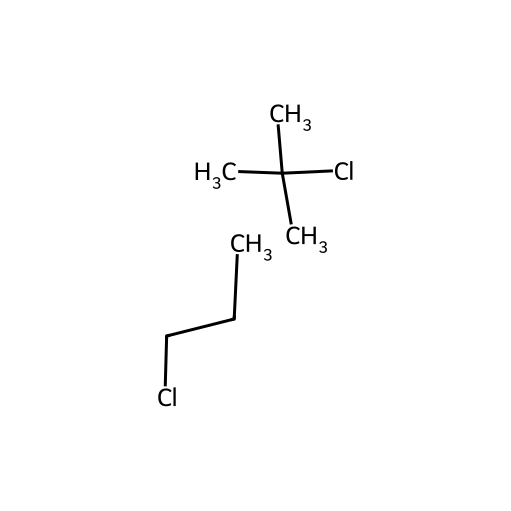 CC(C)(C)Cl.CCCCl